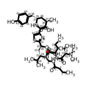 CCCC(=O)OCN(C(=O)[C@H](NC(=O)[C@H](CC)N(C)C)C(C)CC)[C@@H](C[C@H](OC(C)=O)c1nc(C(=O)N[C@H](Cc2ccc(O)cc2)C[C@@H](C)C(=O)O)cs1)C(C)C